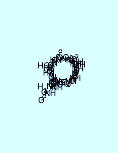 CC(C)[C@@H]1NC(=O)[C@H](Cc2ccccc2)NC(=O)CSC[C@@H](C(=O)NCC(=O)N[C@@H](CCCCNC(=O)c2ccc(C=O)cc2)C(N)=O)NC(=O)[C@@H]2CCCN2C(=O)CNC(=O)[C@H](CCC(=O)O)NC(=O)[C@H](C)N(C)C(=O)[C@H](Cc2ccc(-c3ccccc3)cc2)NC(=O)[C@H](C)N(C)C(=O)[C@H](Cc2ccc(-c3ccccc3)cc2)NC(=O)[C@H]([C@@H](C)O)NC(=O)[C@H]([C@@H](C)O)NC(=O)[C@@H]2CCCN2C1=O